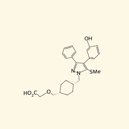 CSc1c(-c2cccc(O)c2)c(-c2ccccc2)nn1C[C@H]1CC[C@@H](COCC(=O)O)CC1